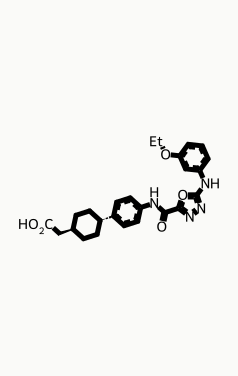 CCOc1cccc(Nc2nnc(C(=O)Nc3ccc([C@H]4CC[C@H](CC(=O)O)CC4)cc3)o2)c1